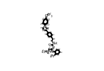 CCN(C)S/C(=N\C(=O)NCCc1ccc(-c2ncn(-c3ccc(OC(F)(F)F)cc3)n2)cc1)Nc1ccccc1C(C)C